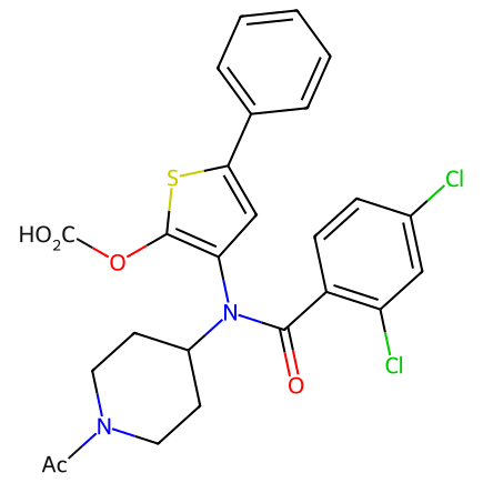 CC(=O)N1CCC(N(C(=O)c2ccc(Cl)cc2Cl)c2cc(-c3ccccc3)sc2OC(=O)O)CC1